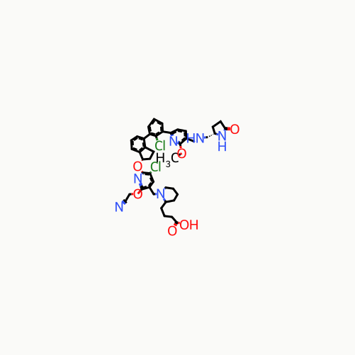 COc1nc(-c2cccc(-c3cccc4c3CC[C@@H]4Oc3nc(OCC#N)c(CN4CCCCC4CCCC(=O)O)cc3Cl)c2Cl)ccc1CNC[C@@H]1CCC(=O)N1